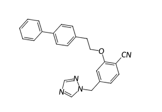 N#Cc1ccc(Cn2cncn2)cc1OCCc1ccc(-c2ccccc2)cc1